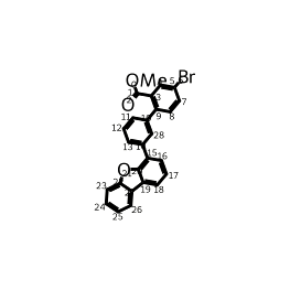 COC(=O)c1cc(Br)ccc1-c1cccc(-c2cccc3c2oc2ccccc23)c1